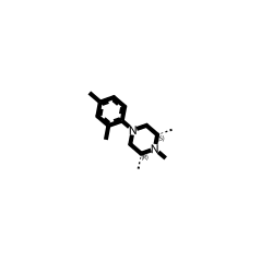 Cc1ccc(N2C[C@@H](C)N(C)[C@@H](C)C2)c(C)c1